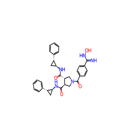 N=C(NO)c1ccc(C(=O)N2C[C@@H](C(=O)N[C@H]3C[C@@H]3c3ccccc3)[C@H](C(=O)N[C@H]3C[C@@H]3c3ccccc3)C2)cc1